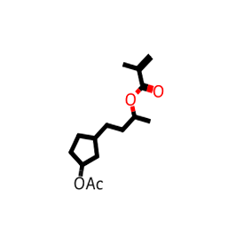 C=C(C)C(=O)OC(C)CCC1CCC(OC(C)=O)C1